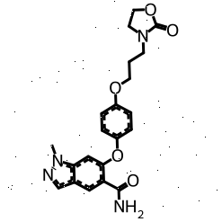 Cn1ncc2cc(C(N)=O)c(Oc3ccc(OCCCN4CCOC4=O)cc3)cc21